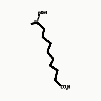 CCCCCCCC[C@@H](C)CCCCCCCCC(=O)O